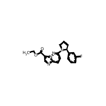 CCOC(=O)c1cnc2ccc(N3CC=CC3c3cccc(F)c3)nn12